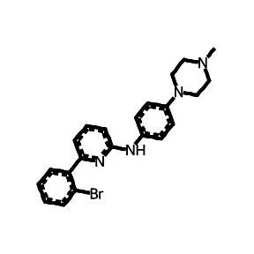 CN1CCN(c2ccc(Nc3cccc(-c4ccccc4Br)n3)cc2)CC1